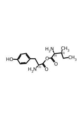 CC[C@H](C)[C@H](N)C(=O)OC(=O)[C@@H](N)Cc1ccc(O)cc1